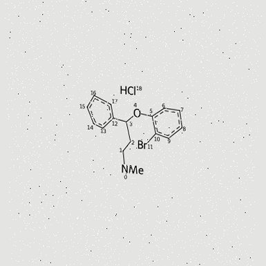 CNCCC(Oc1ccccc1Br)c1ccccc1.Cl